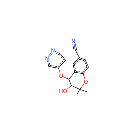 CC1(C)Oc2ccc(C#N)cc2C(Oc2ccnnc2)C1O